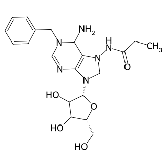 CCC(=O)NN1CN([C@@H]2O[C@H](CO)C(O)C2O)C2=C1C(N)N(Cc1ccccc1)C=N2